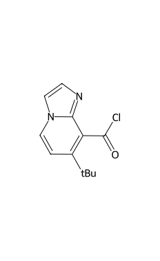 CC(C)(C)c1ccn2ccnc2c1C(=O)Cl